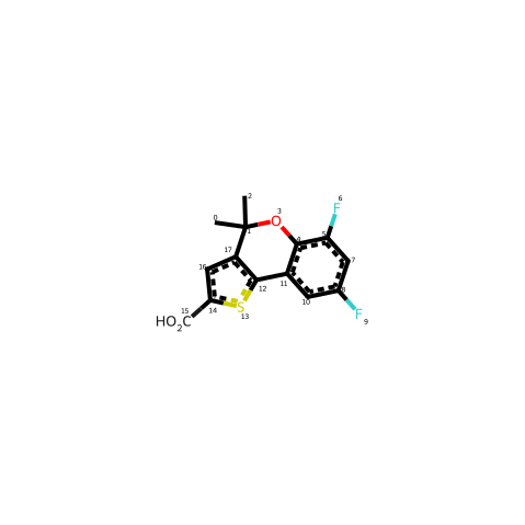 CC1(C)Oc2c(F)cc(F)cc2-c2sc(C(=O)O)cc21